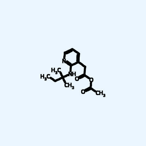 CCC(C)(C)Nc1ncccc1CC(=O)OC(C)=O